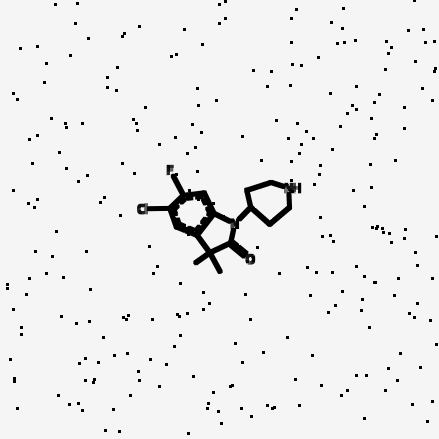 CC1(C)C(=O)N(C2CCNCC2)c2cc(F)c(Cl)cc21